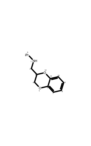 CC(C)NCC1COc2ccccc2O1